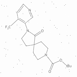 CC(C)(C)OC(=O)N1CCC2(CC1)CCN(c1cnccc1C(F)(F)F)C2=O